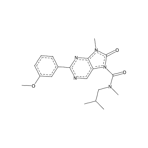 COc1cccc(-c2ncc3c(n2)n(C)c(=O)n3C(=O)N(C)CC(C)C)c1